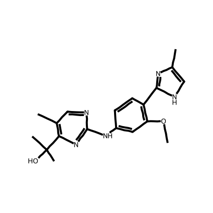 COc1cc(Nc2ncc(C)c(C(C)(C)O)n2)ccc1-c1nc(C)c[nH]1